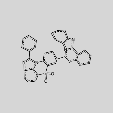 O=S1(=O)c2cc(-c3nc4ccccc4c4nc5ccccc5n34)ccc2-n2c(-c3ccccc3)nc3cccc1c32